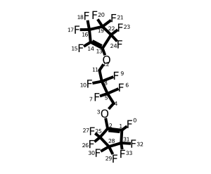 FC1=C(OCC(F)(F)C(F)(F)COC2=C(F)C(F)(F)C(F)(F)C2(F)F)C(F)(F)C(F)(F)C1(F)F